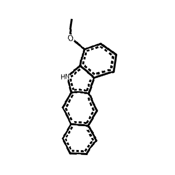 COc1cccc2c1[nH]c1cc3ccccc3cc12